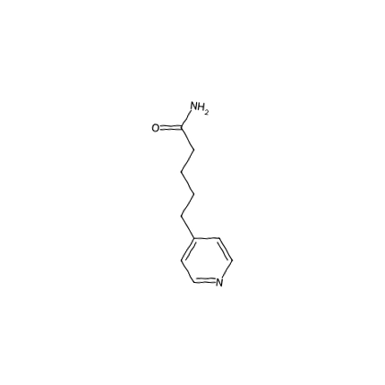 NC(=O)CCCCc1ccncc1